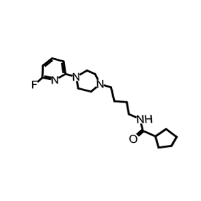 O=C(NCCCCN1CCN(c2cccc(F)n2)CC1)C1CCCC1